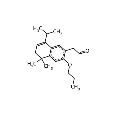 CCCOc1cc2c(cc1CC=O)C(C(C)C)=CCC2(C)C